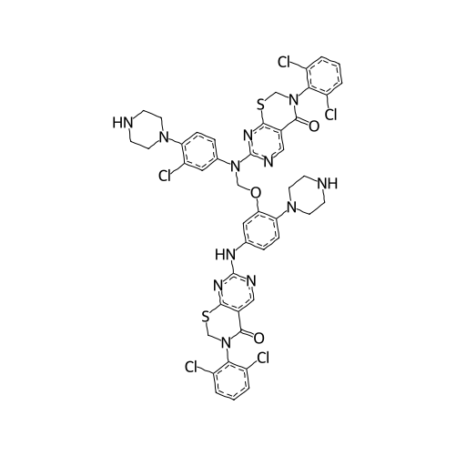 O=C1c2cnc(Nc3ccc(N4CCNCC4)c(OCN(c4ccc(N5CCNCC5)c(Cl)c4)c4ncc5c(n4)SCN(c4c(Cl)cccc4Cl)C5=O)c3)nc2SCN1c1c(Cl)cccc1Cl